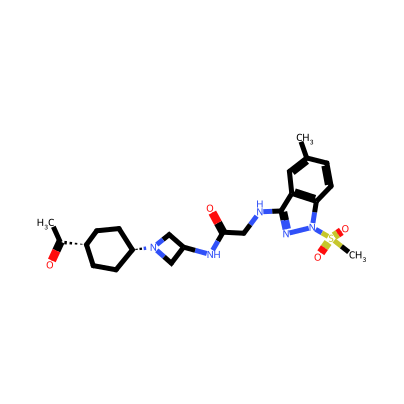 Cc1ccc2c(c1)c(NCC(=O)NC1CN([C@H]3CC[C@@H](C(C)=O)CC3)C1)nn2S(C)(=O)=O